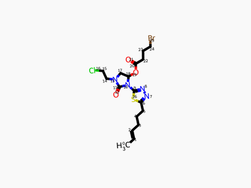 CC=CCCCc1nnc(N2C(=O)N(CCCl)CC2OC(=O)CCCBr)s1